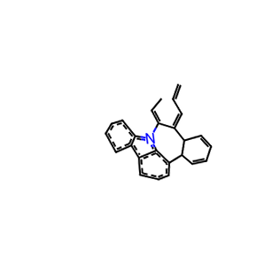 C=C/C=C1\C(=C/C)n2c3ccccc3c3cccc(c32)C2C=CC=CC12